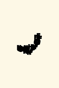 CN(CCCNCc1ccc(C(F)(F)F)cc1)c1nc(-n2ccnc2)ns1